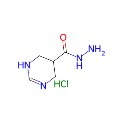 Cl.NNC(=O)C1CN=CNC1